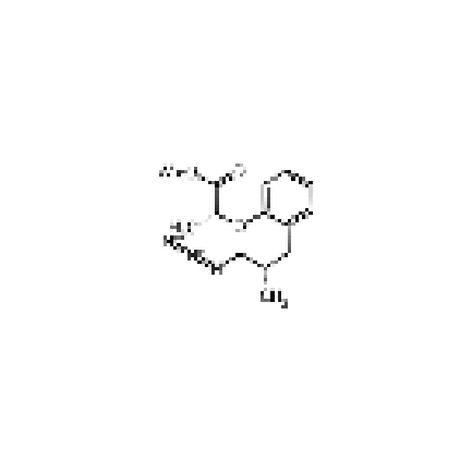 COC(=O)[C@@H](C)Oc1ccccc1C[C@H](C)CN=[N+]=[N-]